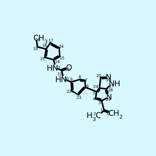 C=C(C)c1cc(-c2ccc(NC(=O)Nc3cccc(CC)c3)cc2)c2cn[nH]c2n1